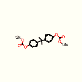 CC(C)(C)OC(=O)Oc1ccc(C(C)(C)c2ccc(OC(=O)OC(C)(C)C)cc2)cc1